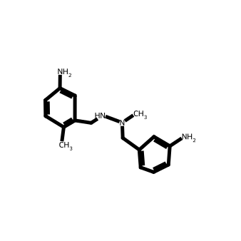 Cc1ccc(N)cc1CNN(C)Cc1cccc(N)c1